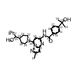 Cc1cc2nc(NC(=O)c3ccc(C(C)(C)O)cc3)cc(N3CCC(C(O)C(C)C)CC3)n2n1